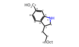 CCCCCCCCCCC1CNc2cc(C(=O)O)ccc21